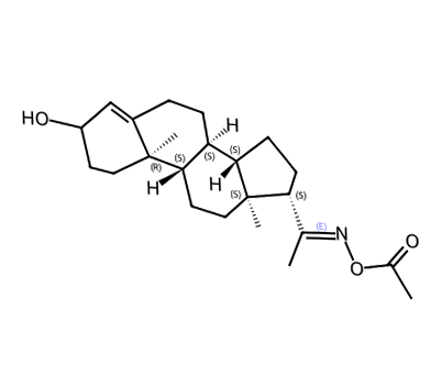 CC(=O)O/N=C(\C)[C@H]1CC[C@H]2[C@@H]3CCC4=CC(O)CC[C@]4(C)[C@H]3CC[C@]12C